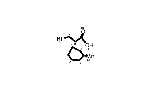 C1CCCCC1.CCCC(=O)O.[Mn]